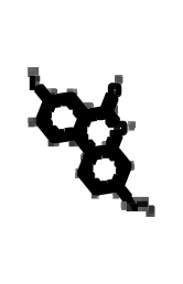 Nc1ccc2c(c1)oc(=O)c1cc(F)ccc12